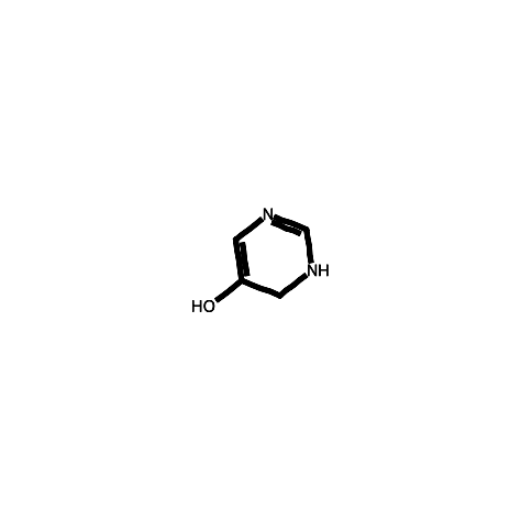 OC1=CN=CNC1